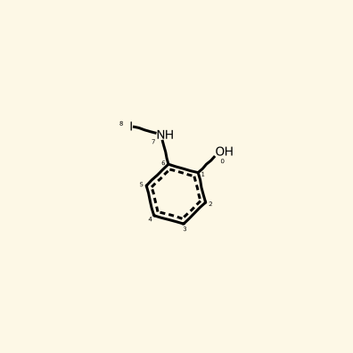 Oc1ccccc1NI